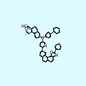 C#Cc1ccc2cc(N(c3ccc(-c4ccccc4)cc3)c3ccc(-c4ccc5ccc6ccc7nc(-c8ccccc8)oc7c6c5c4)nc3)ccc2c1/C=C\C